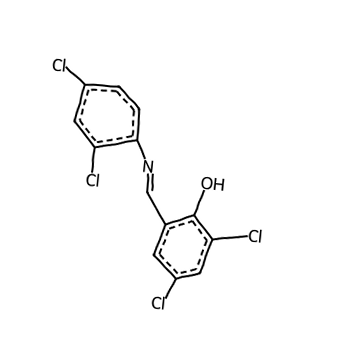 Oc1c(Cl)cc(Cl)cc1/C=N/c1ccc(Cl)cc1Cl